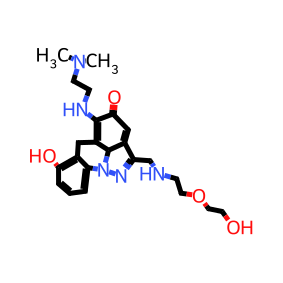 CN(C)CCNC1=C2Cc3c(O)cccc3N3N=C(CNCCOCCO)C(=CC1=O)C23